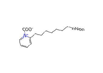 CCCCCCCCCCCCCCCCc1cccc[n+]1C(=O)[O-]